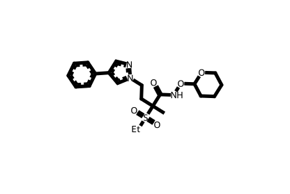 CCS(=O)(=O)C(C)(CCn1cc(-c2ccccc2)cn1)C(=O)NOC1CCCCO1